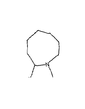 [CH2]C1CCCCCCN1C